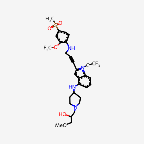 COCC(O)CN1CCC(Nc2cccc3c2cc(C#CCNc2ccc(S(C)(=O)=O)cc2OC(F)(F)F)n3CC(F)(F)F)CC1